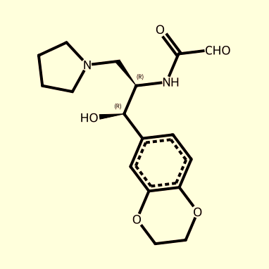 O=CC(=O)N[C@H](CN1CCCC1)[C@H](O)c1ccc2c(c1)OCCO2